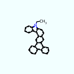 CCn1c2ccccc2c2c3cc4c5ccccc5c5ccccc5c4cc3ccc21